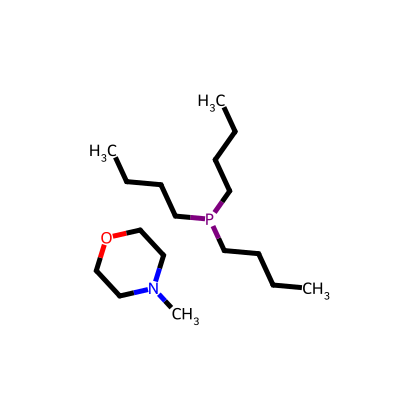 CCCCP(CCCC)CCCC.CN1CCOCC1